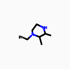 CC(C)CN1CCNC(C)C1C